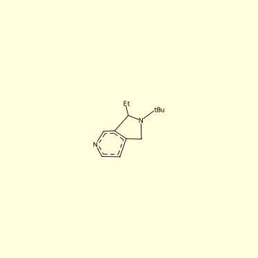 CCC1c2cnccc2CN1C(C)(C)C